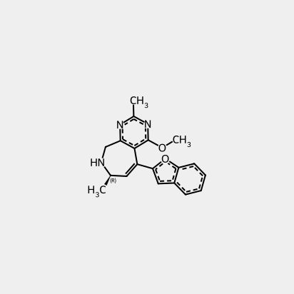 COc1nc(C)nc2c1C(c1cc3ccccc3o1)=C[C@@H](C)NC2